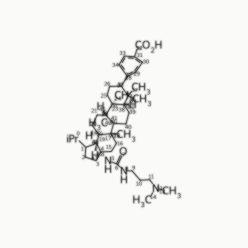 CC(C)C1CC[C@]2(NC(=O)NCCCN(C)C)CC[C@]3(C)[C@H](CC[C@@H]4[C@@]5(C)CC[C@@H](c6ccc(C(=O)O)cc6)C(C)(C)[C@@H]5CC[C@]43C)[C@@H]12